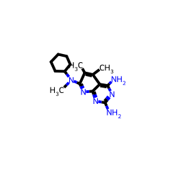 Cc1c(N(C)C2CCCCC2)nc2nc(N)nc(N)c2c1C